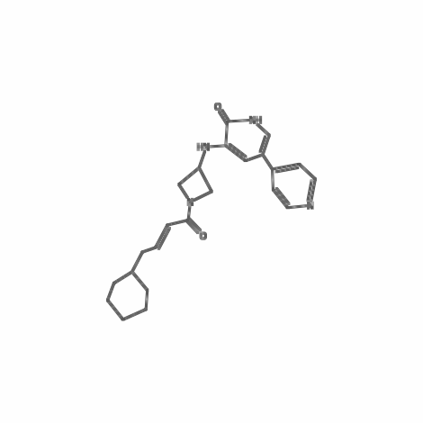 O=C(/C=C/CC1CCCCC1)N1CC(Nc2cc(-c3ccncc3)c[nH]c2=O)C1